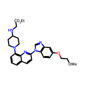 CCOC(=O)CNC1CCN(c2cccc3ccc(-n4cnc5cc(OCCOC)ccc54)nc23)CC1